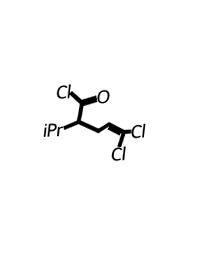 CC(C)C(CC=C(Cl)Cl)C(=O)Cl